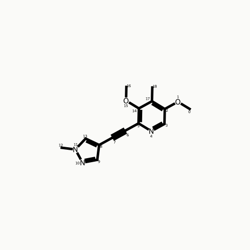 COc1cnc(C#Cc2cnn(C)c2)c(OC)c1C